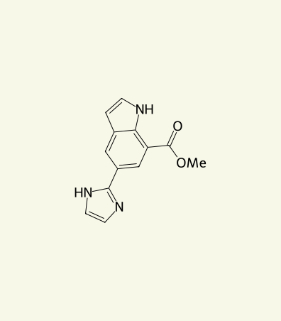 COC(=O)c1cc(-c2ncc[nH]2)cc2cc[nH]c12